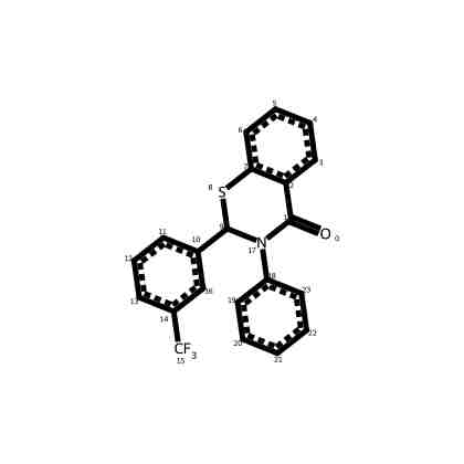 O=C1c2ccccc2SC(c2cccc(C(F)(F)F)c2)N1c1ccccc1